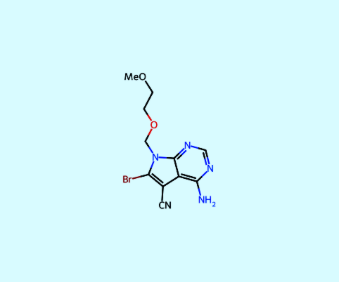 COCCOCn1c(Br)c(C#N)c2c(N)ncnc21